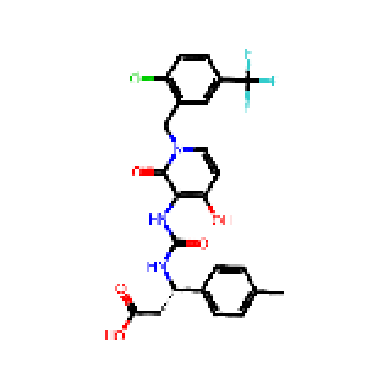 Cc1ccc([C@H](CC(=O)O)NC(=O)Nc2c(O)ccn(Cc3cc(C(F)(F)F)ccc3Cl)c2=O)cc1